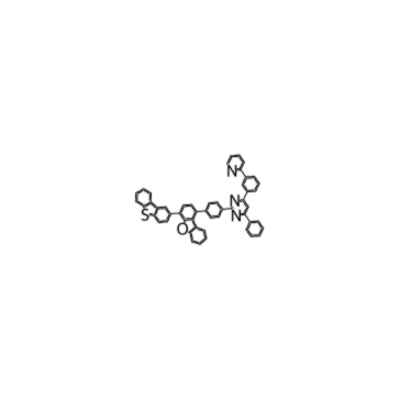 c1ccc(-c2cc(-c3cccc(-c4ccccn4)c3)nc(-c3ccc(-c4ccc(-c5ccc6sc7ccccc7c6c5)c5oc6ccccc6c45)cc3)n2)cc1